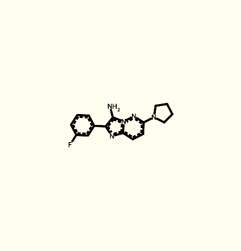 Nc1c(-c2cccc(F)c2)nc2ccc(N3CCCC3)nn12